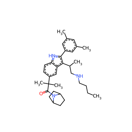 CCCCNCC(C)c1c(-c2cc(C)cc(C)c2)[nH]c2ccc(C(C)(C)C(=O)N3C4CCC3CC4)cc12